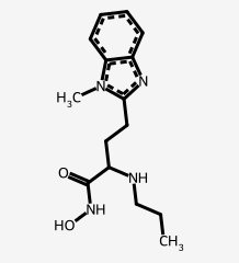 CCCNC(CCc1nc2ccccc2n1C)C(=O)NO